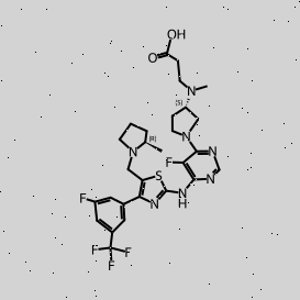 C[C@@H]1CCCN1Cc1sc(Nc2ncnc(N3CC[C@H](N(C)CCC(=O)O)C3)c2F)nc1-c1cc(F)cc(C(F)(F)F)c1